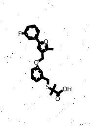 Cc1oc(-c2cccc(F)c2)cc1COc1cccc(CSC(C)(C)C(=O)O)c1